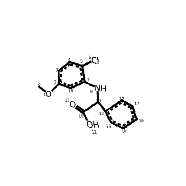 COc1ccc(Cl)c(NC(C(=O)O)c2ccccc2)c1